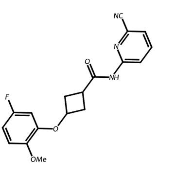 COc1ccc(F)cc1OC1CC(C(=O)Nc2cccc(C#N)n2)C1